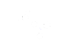 Cc1cc(-c2cc(C)c3c(c2)C2CCC3C2)ccc1N(c1ccccc1)c1ccccc1